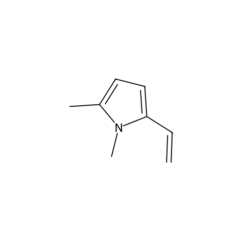 C=Cc1ccc(C)n1C